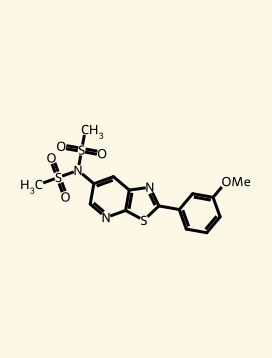 COc1cccc(-c2nc3cc(N(S(C)(=O)=O)S(C)(=O)=O)cnc3s2)c1